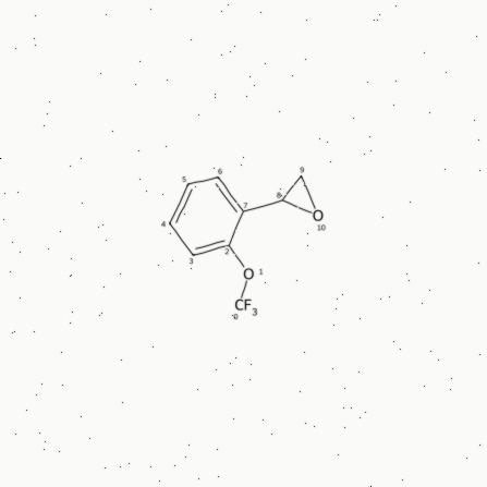 FC(F)(F)Oc1ccccc1C1CO1